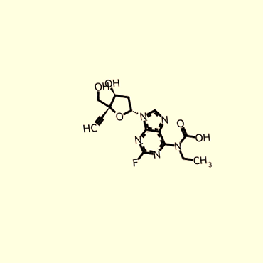 C#C[C@]1(CO)O[C@@H](n2cnc3c(N(CC)C(=O)O)nc(F)nc32)C[C@@H]1O